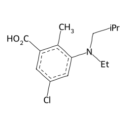 CCN(CC(C)C)c1cc(Cl)cc(C(=O)O)c1C